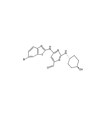 O=Cc1cc(Nc2nc3ccc(Br)cc3s2)nc(N[C@H]2CC[C@H](O)CC2)n1